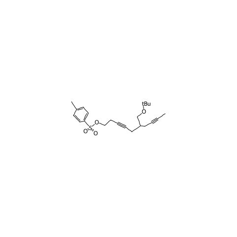 CC#CCC(CC#CCCOS(=O)(=O)c1ccc(C)cc1)COC(C)(C)C